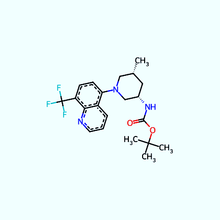 C[C@@H]1C[C@H](NC(=O)OC(C)(C)C)CN(c2ccc(C(F)(F)F)c3ncccc23)C1